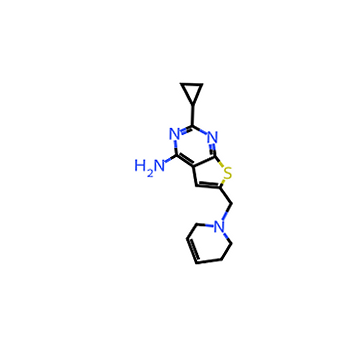 Nc1nc(C2CC2)nc2sc(CN3CC=CCC3)cc12